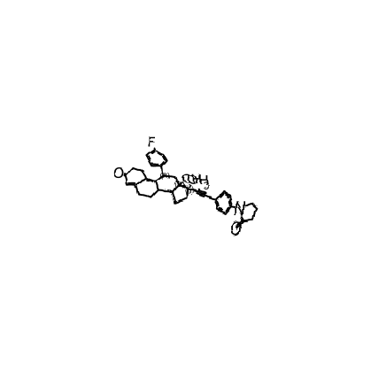 C[C@]12C[C@H](c3ccc(F)cc3)C3=C4CCC(=O)C=C4CCC3C1CC[C@@]2(O)C#Cc1ccc(N2CCCC2=O)cc1